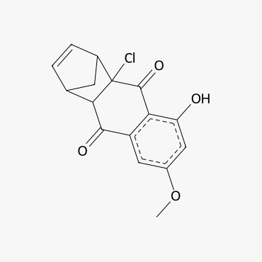 COc1cc(O)c2c(c1)C(=O)C1C3C=CC(C3)C1(Cl)C2=O